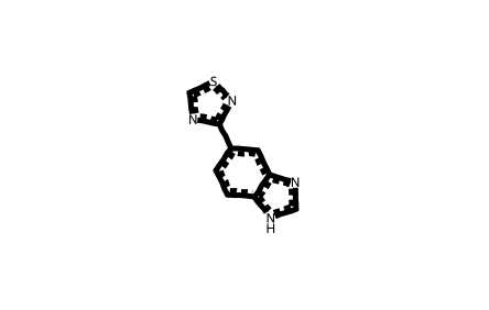 c1nc2cc(-c3ncsn3)ccc2[nH]1